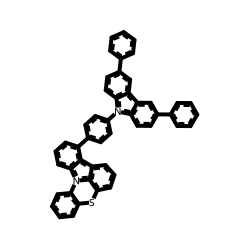 c1ccc(-c2ccc3c(c2)c2cc(-c4ccccc4)ccc2n3-c2ccc(-c3cccc4c3c3cccc5c3n4-c3ccccc3S5)cc2)cc1